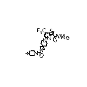 CNC(=O)c1csc2c(C(F)(F)F)cc(N3CCC4(CC3)CN(C(=O)N3CCN(C)CC3)C4)nc12